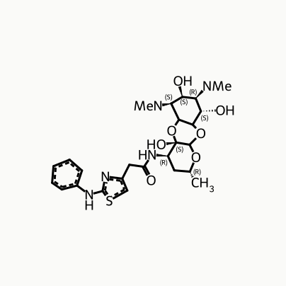 CN[C@@H]1[C@H](O)[C@H](NC)C2O[C@]3(O)C(OC2[C@H]1O)O[C@H](C)C[C@H]3NC(=O)Cc1csc(Nc2ccccc2)n1